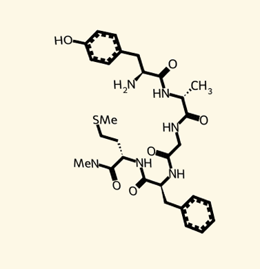 CNC(=O)[C@H](CCSC)NC(=O)[C@H](Cc1ccccc1)NC(=O)CNC(=O)[C@@H](C)NC(=O)[C@@H](N)Cc1ccc(O)cc1